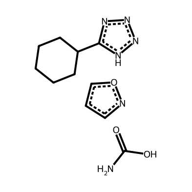 C1CCC(c2nnn[nH]2)CC1.NC(=O)O.c1cnoc1